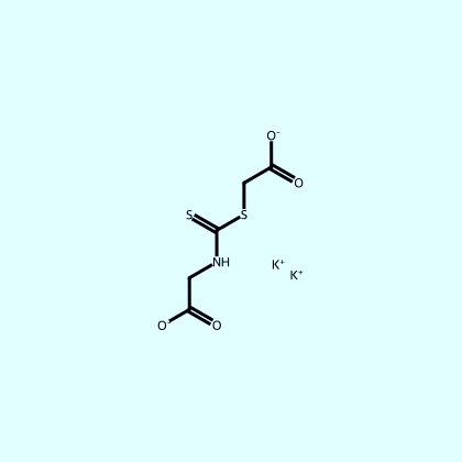 O=C([O-])CNC(=S)SCC(=O)[O-].[K+].[K+]